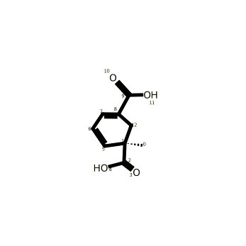 C[C@]1(C(=O)O)C=CC=C(C(=O)O)C1